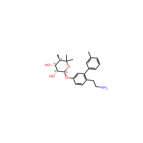 Cc1cccc(-c2cc(O[C@@H]3OC(C)(C)[C@H](C)[C@@H](O)[C@H]3O)ccc2CCN)c1